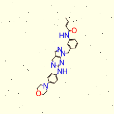 C/C=C/C(=O)Nc1cccc(Cn2ncc3cnc(Nc4ccc(N5CCOCC5)cc4)nc32)c1